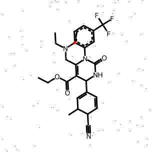 CCOC(=O)C1=C(CN(CC)CC)N(c2cccc(C(F)(F)F)c2)C(=O)NC1C1=CC(C)C(C#N)C=C1